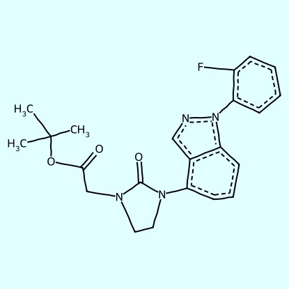 CC(C)(C)OC(=O)CN1CCN(c2cccc3c2cnn3-c2ccccc2F)C1=O